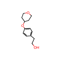 OCCc1ccc(OC2CCOCC2)cc1